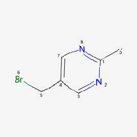 [CH2]c1ncc(CBr)cn1